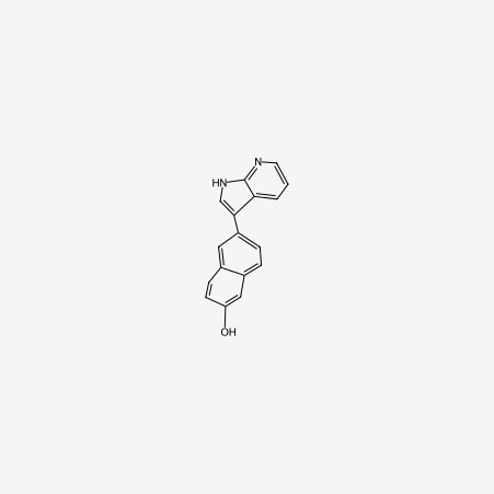 Oc1ccc2cc(-c3c[nH]c4ncccc34)ccc2c1